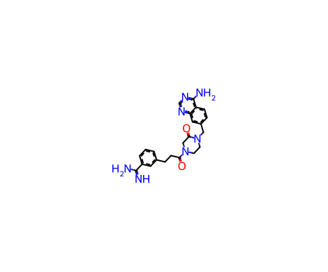 N=C(N)c1cccc(CCC(=O)N2CCN(Cc3ccc4c(N)ncnc4c3)C(=O)C2)c1